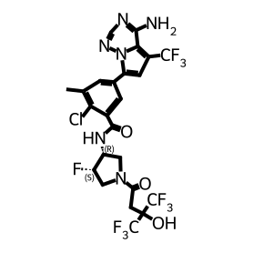 Cc1cc(-c2cc(C(F)(F)F)c3c(N)ncnn23)cc(C(=O)N[C@@H]2CN(C(=O)CC(O)(C(F)(F)F)C(F)(F)F)C[C@@H]2F)c1Cl